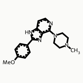 COc1ccc(-c2nc3c(N4CCN(C)CC4)nccc3[nH]2)cc1